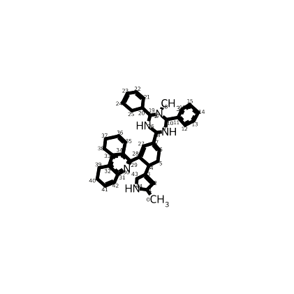 CC1C=C(C2CC=C(C3NC(c4ccccc4)N(C)C(C4C=CC=CC4)N3)C=C2c2nc3c(c4c2C=CCC4)CCC=C3)CN1